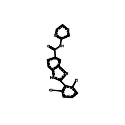 O=C(Nc1cnccn1)c1ccc2[nH]c(-c3c(Cl)cccc3Cl)nc2c1